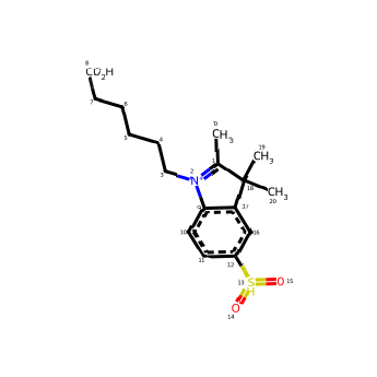 CC1=[N+](CCCCCC(=O)O)c2ccc([SH](=O)=O)cc2C1(C)C